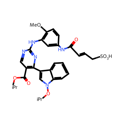 COc1ccc(NC(=O)/C=C/CS(=O)(=O)O)cc1Nc1ncc(C(=O)OC(C)C)c(-c2cn(OC(C)C)c3ccccc23)n1